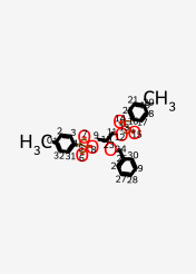 Cc1ccc(S(=O)(=O)OCC(COS(=O)(=O)c2ccc(C)cc2)OCc2ccccc2)cc1